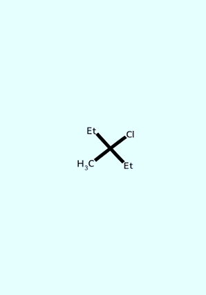 [CH2]CC(C)(Cl)CC